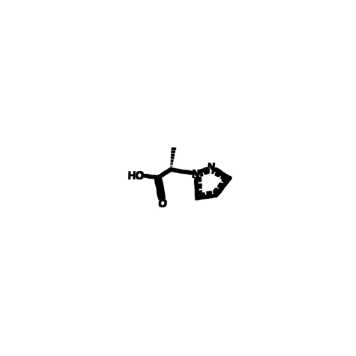 C[C@@H](C(=O)O)n1cccn1